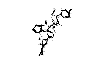 COc1cccc(OC)c1-n1c(NS(=O)(=O)[C@@H](C)[C@H](OC)c2ncc(C)cn2)nnc1-c1cc(C2CC2)on1